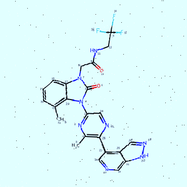 Cc1nc(-n2c(=O)n(CC(=O)NCC(F)(F)F)c3cccc(C)c32)cnc1-c1cncc2[nH]ncc12